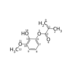 C=C(C)C(=O)Oc1cccc(OC)c1O